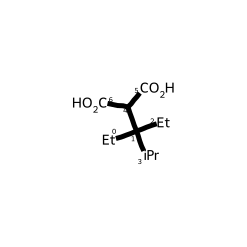 CCC(CC)(C(C)C)C(C(=O)O)C(=O)O